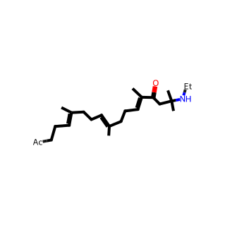 CCNC(C)(C)CC(=O)C(C)=CCCC(C)=CCCC(C)=CCCC(C)=O